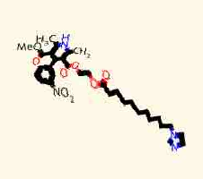 COC(=O)C1=C(C)NC(C)=C(C(=O)OCCOC(=O)CCCCCCCCCCn2ccnc2)C1c1cccc([N+](=O)[O-])c1